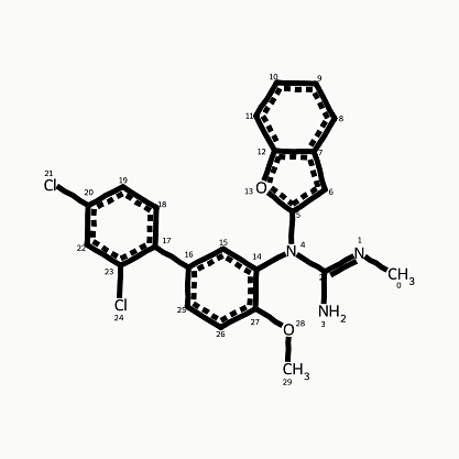 CN=C(N)N(c1cc2ccccc2o1)c1cc(-c2ccc(Cl)cc2Cl)ccc1OC